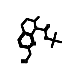 CC1CCc2ccc(CO)nc2N1C(=O)OC(C)(C)C